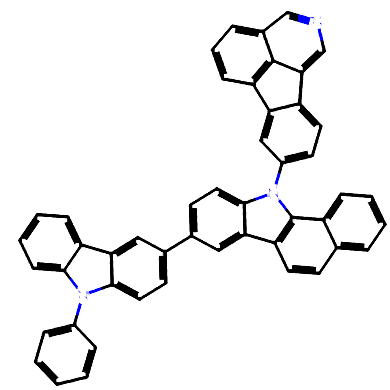 c1ccc(-n2c3ccccc3c3cc(-c4ccc5c(c4)c4ccc6ccccc6c4n5-c4ccc5c(c4)-c4cccc6cncc-5c46)ccc32)cc1